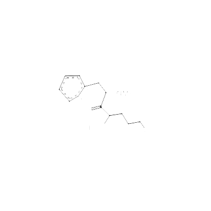 CN[C@@H](Cc1ccccc1)C(=O)C(CCCO)C(=O)O